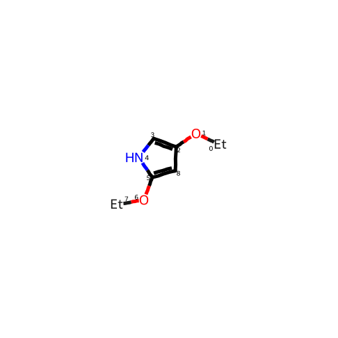 CCOc1c[nH]c(OCC)c1